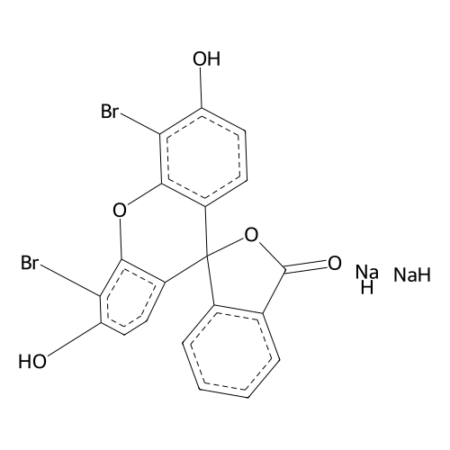 O=C1OC2(c3ccccc31)c1ccc(O)c(Br)c1Oc1c2ccc(O)c1Br.[NaH].[NaH]